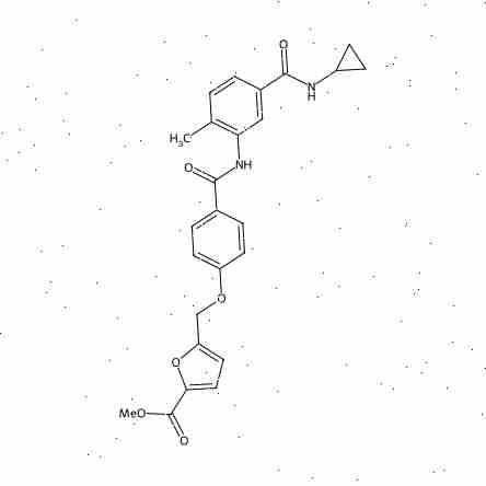 COC(=O)c1ccc(COc2ccc(C(=O)Nc3cc(C(=O)NC4CC4)ccc3C)cc2)o1